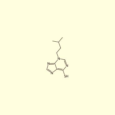 CC(C)CCn1cnc(S)c2ncnc1-2